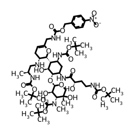 C[C@@H](CN[C@@H]1CC=C(CNC(=O)OCc2ccc([N+](=O)[O-])cc2)OC1[C@H]1[C@H](O)[C@@H](O[C@H]2OC[C@](C)(O)[C@H](N(C)C(=O)OC(C)(C)C)[C@H]2O)[C@H](NC(=O)[C@@H](O)CCNC(=O)OC(C)(C)C)C[C@@H]1NC(=O)OC(C)(C)C)NC(=O)OC(C)(C)C